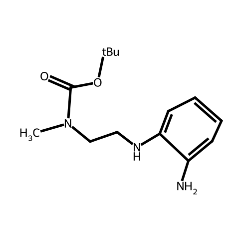 CN(CCNc1ccccc1N)C(=O)OC(C)(C)C